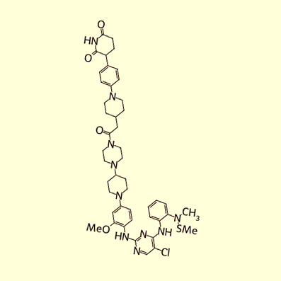 COc1cc(N2CCC(N3CCN(C(=O)CC4CCN(c5ccc(C6CCC(=O)NC6=O)cc5)CC4)CC3)CC2)ccc1Nc1ncc(Cl)c(Nc2ccccc2N(C)SC)n1